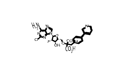 Nc1nc(Cl)nc2c1ncn2[C@@H]1O[C@H](COC(Cc2ccc(-c3cccnc3)cc2)(C(=O)O)C(=O)O)[C@@H](O)[C@@H]1F